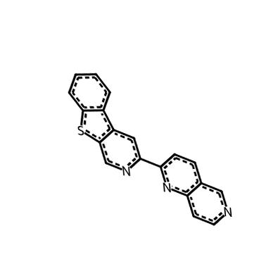 c1ccc2c(c1)sc1cnc(-c3ccc4cnccc4n3)cc12